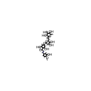 COc1ccc(/C=C/C(=O)c2c(O)cc(O[C@H]3CC(O)[C@H](O)C(CO[C@@H]4OC(C)C(O)=C(O)C4O)O3)cc2O)cc1O